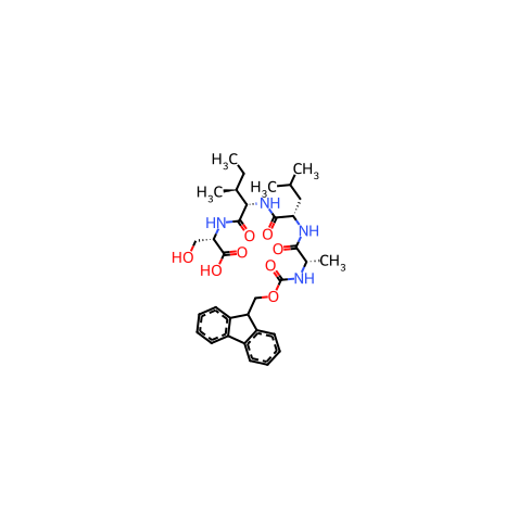 CC[C@H](C)[C@H](NC(=O)[C@H](CC(C)C)NC(=O)[C@H](C)NC(=O)OCC1c2ccccc2-c2ccccc21)C(=O)N[C@@H](CO)C(=O)O